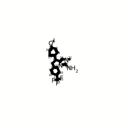 COc1ccc(C(Cc2ccc(C(F)(F)F)cc2)c2cn(C)c(N)n2)cc1